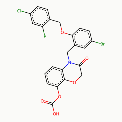 O=C(O)Oc1cccc2c1OCC(=O)N2Cc1cc(Br)ccc1OCc1ccc(Cl)cc1F